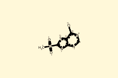 CS(=O)(=O)c1nc2ncnc(Cl)c2s1